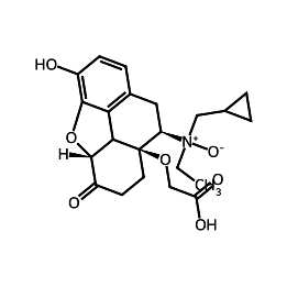 CC[N+]([O-])(CC1CC1)[C@@H]1Cc2ccc(O)c3c2C2[C@@H](O3)C(=O)CC[C@]21OCC(=O)O